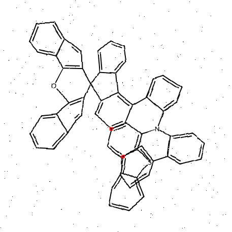 c1ccc(-c2ccccc2N(c2ccccc2-c2cccc3c2-c2ccccc2C32c3ccc4ccccc4c3Oc3c2ccc2ccccc32)c2cccc3c2sc2ccccc23)cc1